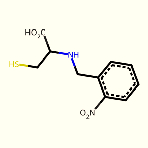 O=C(O)C(CS)NCc1ccccc1[N+](=O)[O-]